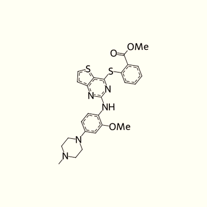 COC(=O)c1ccccc1Sc1nc(Nc2ccc(N3CCN(C)CC3)cc2OC)nc2ccsc12